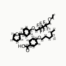 CCOCC(F)(F)C(F)(F)C(F)(F)COc1ccc(-c2ccccc2)cc1.CC[C@H](C)CCCOc1ccc(C(=O)O)cc1